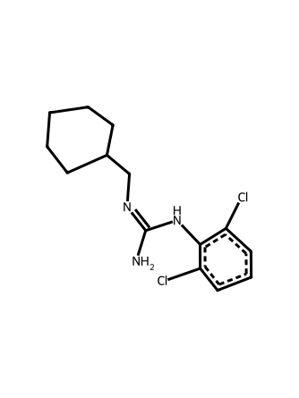 NC(=NCC1CCCCC1)Nc1c(Cl)cccc1Cl